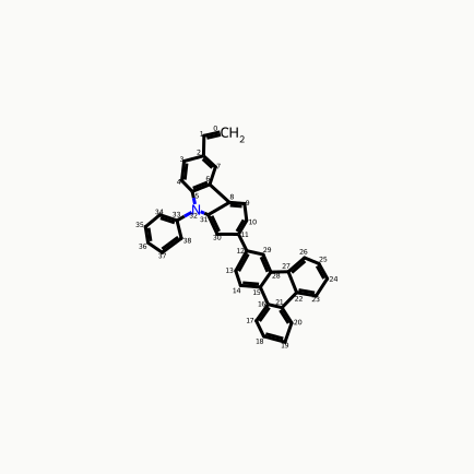 C=Cc1ccc2c(c1)c1ccc(-c3ccc4c5ccccc5c5ccccc5c4c3)cc1n2-c1ccccc1